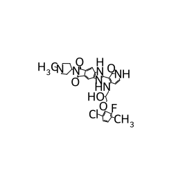 Cc1ccc(Cl)c(OCC(O)CNc2cc[nH]c(=O)c2-c2nc3cc4c(cc3[nH]2)C(=O)N(C2CCN(C)CC2)C4=O)c1F